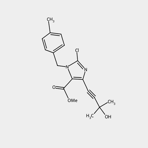 COC(=O)c1c(C#CC(C)(C)O)nc(Cl)n1Cc1ccc(C)cc1